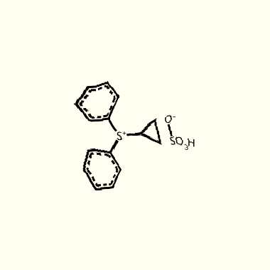 O=S(=O)([O-])O.c1ccc([S+](c2ccccc2)C2CC2)cc1